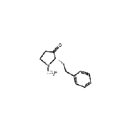 O=C1CCN(C(=O)O)[C@H]1CCc1ccccc1